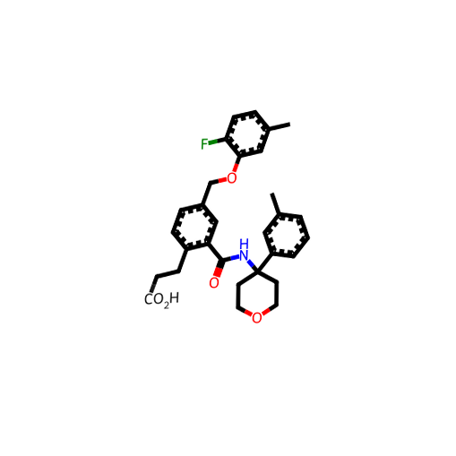 Cc1cccc(C2(NC(=O)c3cc(COc4cc(C)ccc4F)ccc3CCC(=O)O)CCOCC2)c1